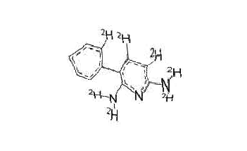 [2H]c1ccccc1-c1c(N([2H])[2H])nc(N([2H])[2H])c([2H])c1[2H]